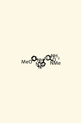 CNC(=O)C1CN(CC2=C3C(Nc4cccc(OC)c4)=NC=NN3CC2)CC[C@@H]1N